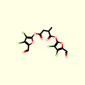 CC(CC(=O)Oc1oc(C=O)c(Cl)c1Cl)C(=O)Oc1oc(C=O)c(Cl)c1Cl